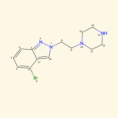 Brc1cccc2nn(CCN3CCNCC3)cc12